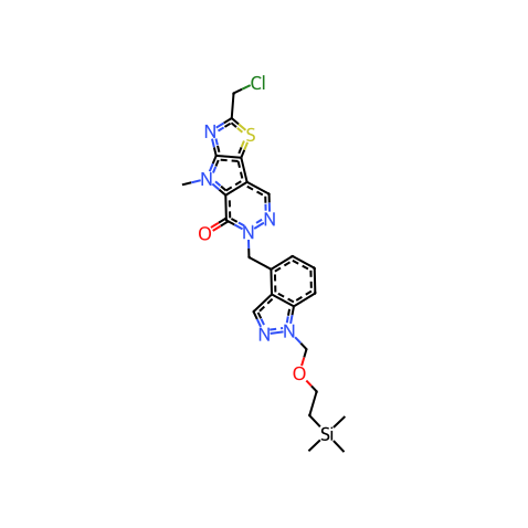 Cn1c2nc(CCl)sc2c2cnn(Cc3cccc4c3cnn4COCC[Si](C)(C)C)c(=O)c21